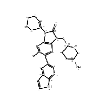 Cc1nc2c(cc1-c1cnc3[nH]ccc3c1)n(C[C@H]1CC[C@@H](O)CO1)c(=O)n2C1=CCCCC1